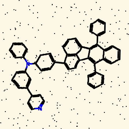 C1=CC(N(c2ccccc2)c2cccc(-c3ccncc3)c2)CC=C1c1ccc2c3c(cccc13)-c1c-2c(-c2ccccc2)c2ccccc2c1-c1ccccc1